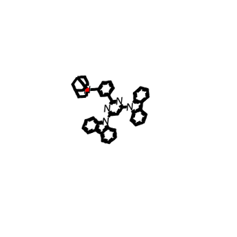 c1cc(-c2nc(-n3c4ccccc4c4ccccc43)cc(-n3c4ccccc4c4ccccc43)n2)cc(N2C3CC4CC(C3)CC2C4)c1